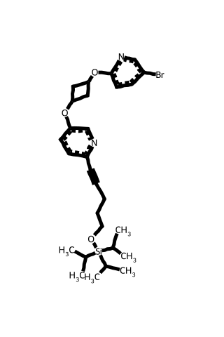 CC(C)[Si](OCCCC#Cc1ccc(OC2CC(Oc3ccc(Br)cn3)C2)cn1)(C(C)C)C(C)C